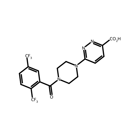 O=C(O)c1ccc(N2CCN(C(=O)c3cc(C(F)(F)F)ccc3C(F)(F)F)CC2)nn1